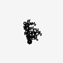 CC(C)OC(=O)[C@H](C)NP(=O)(OC[C@@]1(C(F)F)O[C@@H](n2cnc3c(=O)[nH]c(N)nc32)[C@@H](O)[C@@H]1O)Oc1ccccc1